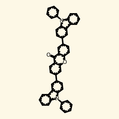 O=c1c2ccc(-c3ccc4c(c3)c3ccccc3n4-c3ccccc3)cc2oc2ccc(-c3ccc4c(c3)c3ccccc3n4-c3ccccc3)cc12